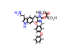 NCCc1c[nH]c2ccc(CC3NC(=O)N(Cc4cccc(Oc5ccccc5)c4)C3=O)cc12.O.O=C(O)C=CC(=O)O